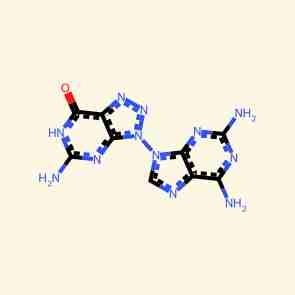 Nc1nc(N)c2ncn(-n3nnc4c(=O)[nH]c(N)nc43)c2n1